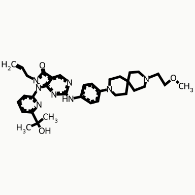 C=CCn1c(=O)c2cnc(Nc3ccc(N4CCC5(CCN(CCOC)CC5)CC4)cc3)nc2n1-c1cccc(C(C)(C)O)n1